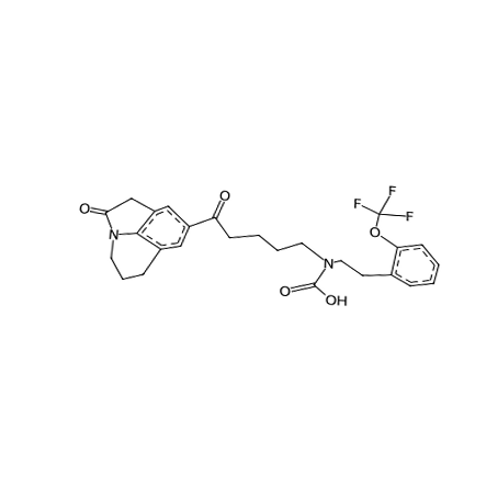 O=C(CCCCN(CCc1ccccc1OC(F)(F)F)C(=O)O)c1cc2c3c(c1)CC(=O)N3CCC2